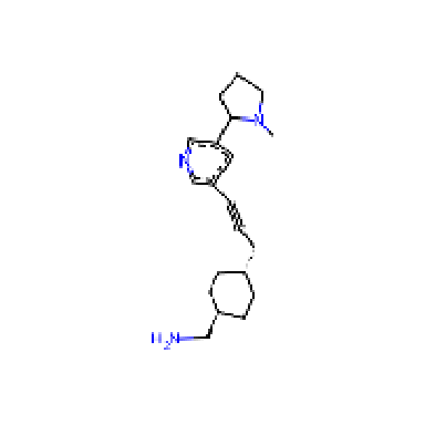 CN1CCCC1c1cncc(C#CC[C@H]2CC[C@H](CN)CC2)c1